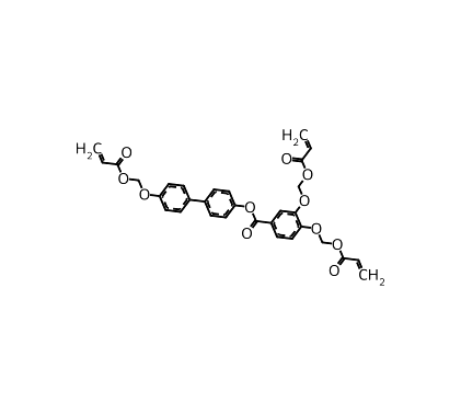 C=CC(=O)OCOc1ccc(-c2ccc(OC(=O)c3ccc(OCOC(=O)C=C)c(OCOC(=O)C=C)c3)cc2)cc1